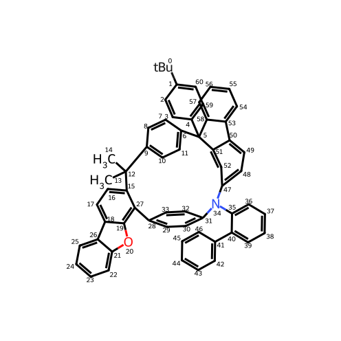 CC(C)(C)c1ccc(C23c4ccc(cc4)C(C)(C)c4ccc5c(oc6ccccc65)c4-c4ccc(cc4)N(c4ccccc4-c4ccccc4)c4ccc(c2c4)-c2ccccc23)cc1